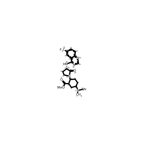 COC(=O)C1CC(N(C)C(C)C)CCC1N1CC[C@H](Nc2ncnc3ccc(C(F)(F)F)cc23)C1=O